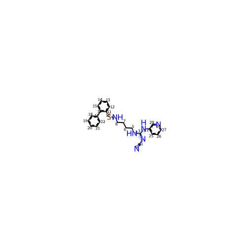 N#C/N=C(\NCCCCNSc1ccccc1-c1ccccc1)Nc1cccnc1